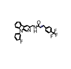 O=C(/C=C/c1ccc(C(F)(F)F)cc1)NCc1cc2c3ccccc3n(-c3cccc(F)c3)c2cn1